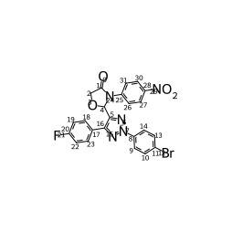 O=C1COC(c2nn(-c3ccc(Br)cc3)nc2-c2ccc(F)cc2)N1c1ccc([N+](=O)[O-])cc1